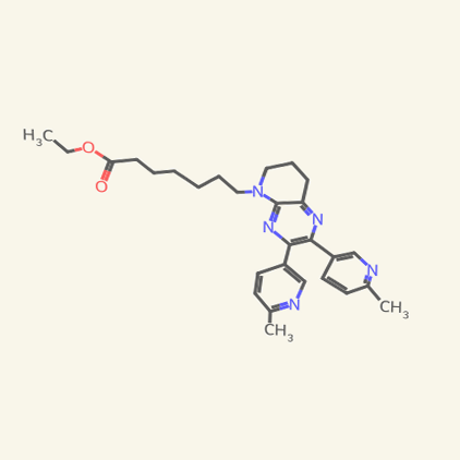 CCOC(=O)CCCCCCN1CCCc2nc(-c3ccc(C)nc3)c(-c3ccc(C)nc3)nc21